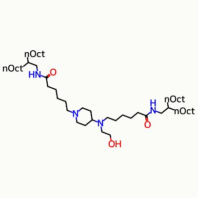 CCCCCCCCC(CCCCCCCC)CNC(=O)CCCCCN1CCC(N(CCO)CCCCCC(=O)NCC(CCCCCCCC)CCCCCCCC)CC1